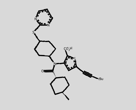 CC(C)(C)C#Cc1cc(N(C(=O)[C@H]2CC[C@H](C)CC2)C2CCC(Sc3ncccn3)CC2)c(C(=O)O)s1